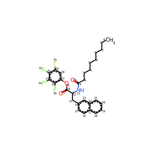 CCCCCCCCCC(=O)NC(Cc1ccc2ccccc2c1)C(=O)Oc1cc(F)c(F)c(F)c1F